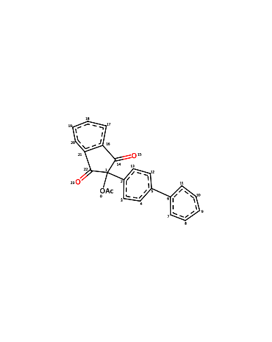 CC(=O)OC1(c2[c]cc(-c3ccccc3)cc2)C(=O)c2ccccc2C1=O